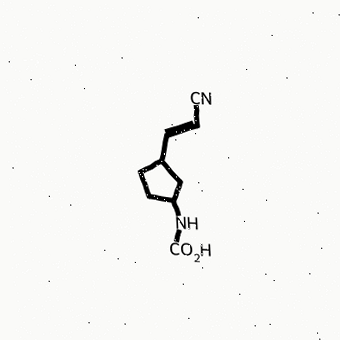 N#C/C=C/C1CCC(NC(=O)O)C1